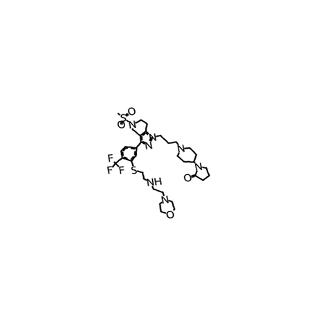 CS(=O)(=O)N1CCc2c(c(-c3ccc(C(F)(F)F)c(SCCNCCN4CCOCC4)c3)nn2CCCN2CCC(N3CCCC3=O)CC2)C1